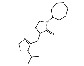 CC(C)N1CCN=C1SC1CCN(C2CCCCCC2)C1=O